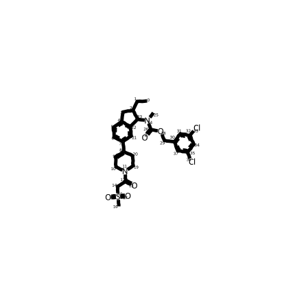 CCC1Cc2ccc(C3=CCN(C(=O)CS(C)(=O)=O)CC3)cc2C1N(C)C(=O)OCc1cc(Cl)cc(Cl)c1